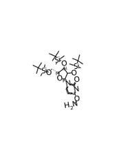 CC(C)(C)[Si](C)(C)OC[C@H]1O[C@@H](n2ccc(ON)nc2=O)C(O[Si](C)(C)C(C)(C)C)[C@H]1O[Si](C)(C)C(C)(C)C